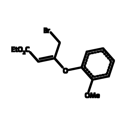 CCOC(=O)C=C(CBr)Oc1ccccc1OC